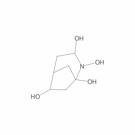 OC1CC2(O)CC1CC(O)N2O